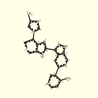 Cc1cn(-c2cccc3[nH]c(-c4n[nH]c5cnc(-c6cnccc6C)cc45)nc23)cn1